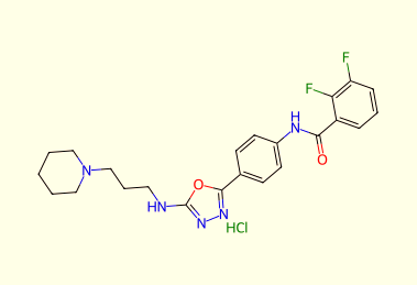 Cl.O=C(Nc1ccc(-c2nnc(NCCCN3CCCCC3)o2)cc1)c1cccc(F)c1F